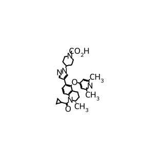 Cc1cc(Oc2c(-c3cnn(C4CCN(C(=O)O)CC4)c3)ccc3c2CC[C@H](C)N3C(=O)C2CC2)cc(C)n1